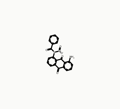 Nc1cccc2c1C(=O)c1c(cccc1N(C(=O)c1ccccc1)[N+](=O)[O-])C2=O